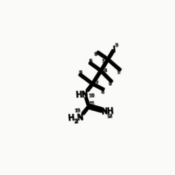 CC(C)(I)C(C)(C)C(C)(C)NC(=N)N